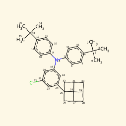 CC(C)(C)c1ccc(N(c2ccc(C(C)(C)C)cc2)c2cc(Cl)cc(C34CC5CC6CC(C3)C654)c2)cc1